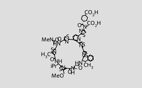 CNC(=O)C[C@@H]1NC(=O)c2csc(n2)-c2ccc(-c3nc(N(CC(=O)O)C(=O)[C@H]4CC[C@H](C(=O)O)CC4)cs3)nc2-c2csc(n2)-c2csc(n2)[C@H]([C@@H](C)c2ccccc2)NC(=O)CNC(=O)c2nc(sc2COC)C(C(C)C)NC(=O)c2nc1sc2C